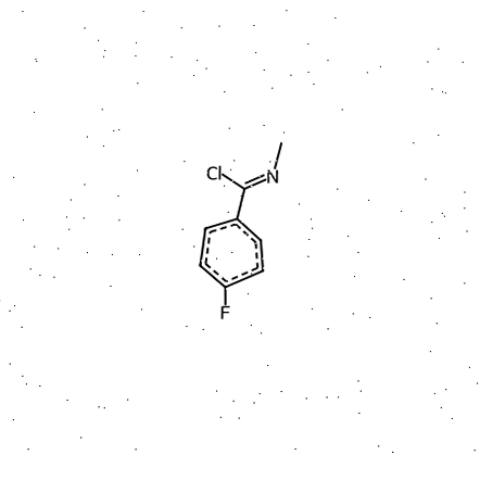 CN=C(Cl)c1ccc(F)cc1